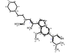 C=NN(/C=C(\N)c1cnn2cc(/C(C=N)=C/N(C)C)cc(OC)c12)CCN1CCOCC1